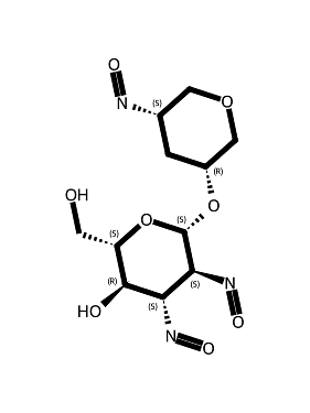 O=N[C@@H]1COC[C@H](O[C@H]2O[C@@H](CO)[C@H](O)[C@@H](N=O)[C@@H]2N=O)C1